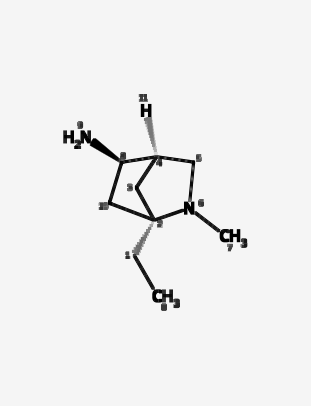 CC[C@]12C[C@H](CN1C)[C@H](N)C2